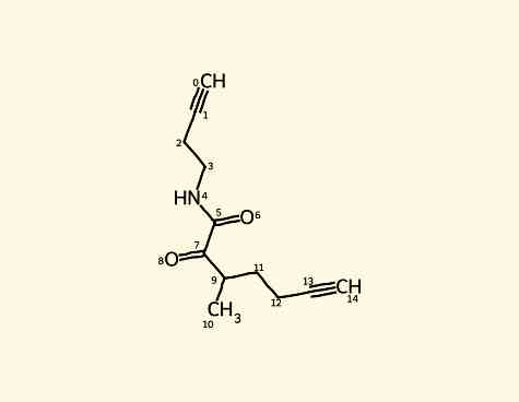 C#CCCNC(=O)C(=O)C(C)CCC#C